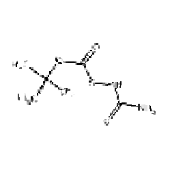 CC(C)(C)OC(=O)SNC(N)=O